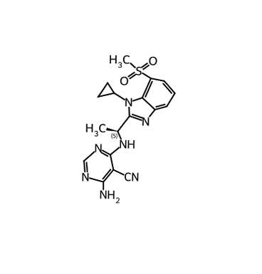 C[C@H](Nc1ncnc(N)c1C#N)c1nc2cccc(S(C)(=O)=O)c2n1C1CC1